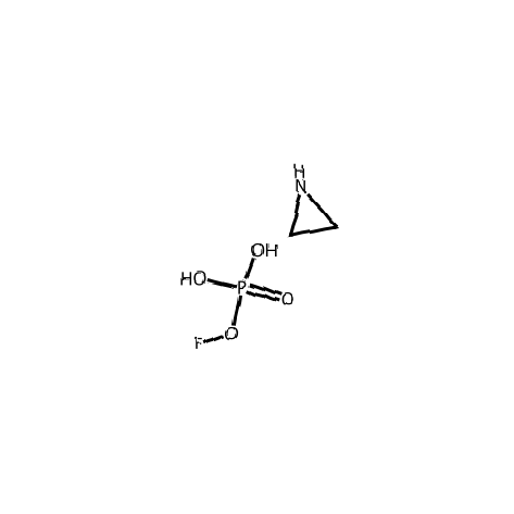 C1CN1.O=P(O)(O)OF